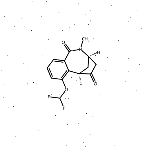 CN1C(=O)c2cccc(OC(F)F)c2[C@H]2C[C@@H]1CC2=O